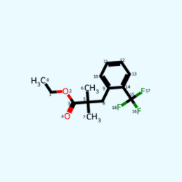 CCOC(=O)C(C)(C)Cc1ccccc1C(F)(F)F